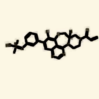 C=CC(=O)N1CCN2c3ncnc4cc(-c5cccc(N=[SH](C)(C)O)c5)c(Cl)c(c34)OC[C@@H]2C1